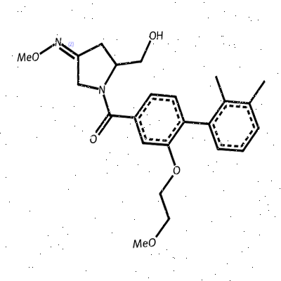 COCCOc1cc(C(=O)N2C/C(=N\OC)CC2CO)ccc1-c1cccc(C)c1C